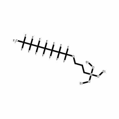 CCO[Si](CCCOC(F)(F)C(F)(F)C(F)(F)C(F)(F)C(F)(F)C(F)(F)C(F)(F)C(F)(F)F)(OCC)OCC